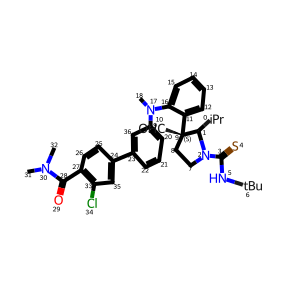 CC(C)C1N(C(=S)NC(C)(C)C)CC[C@]1(C=O)c1ccccc1N(C)c1cccc(-c2ccc(C(=O)N(C)C)c(Cl)c2)c1